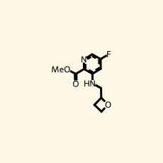 COC(=O)c1ncc(F)cc1NCC1CCO1